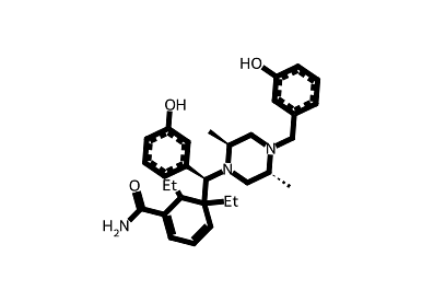 CCC1C(C(N)=O)=CC=CC1(CC)[C@@H](c1cccc(O)c1)N1C[C@@H](C)N(Cc2cccc(O)c2)C[C@@H]1C